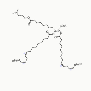 CCCCC/C=C\C/C=C\CCCCCCCC(=O)O[C@@H](CCCCCCCC)[C@@H](CCCCCCCC(=O)OCCCN(C)C)OC(=O)CCCCCCC/C=C\C/C=C\CCCCC